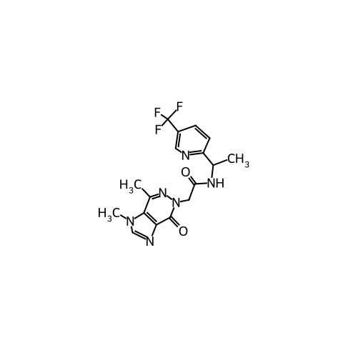 Cc1nn(CC(=O)NC(C)c2ccc(C(F)(F)F)cn2)c(=O)c2ncn(C)c12